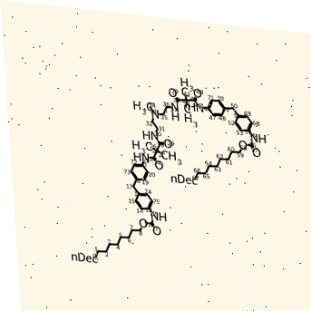 CCCCCCCCCCCCCCCCCCOC(=O)Nc1ccc(Cc2ccc(NC(=O)C(C)(C)C(=O)NCCN(C)CCNC(=O)C(C)(C)C(=O)Nc3ccc(Cc4ccc(NC(=O)OCCCCCCCCCCCCCCCCCC)cc4)cc3)cc2)cc1